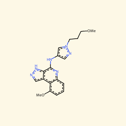 COCCCn1cc(Nc2nc3cccc(OC)c3c3cn[nH]c23)cn1